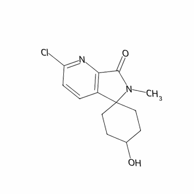 CN1C(=O)c2nc(Cl)ccc2C12CCC(O)CC2